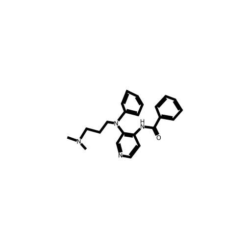 CN(C)CCCN(c1ccccc1)c1cnccc1NC(=O)c1ccccc1